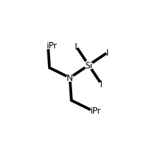 CC(C)CN(CC(C)C)[Si](I)(I)I